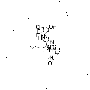 [2H]C([2H])(Oc1nc(C(CC)CCCCC)c2c(n1)=CN(c1cc(O)cc(Cl)c1C(F)(F)F)NC=2)C1(CN2CCOCC2)CC1